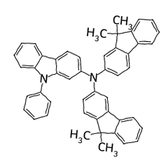 CC1(C)c2ccccc2-c2cc(N(c3ccc4c(c3)C(C)(C)c3ccccc3-4)c3ccc4c5ccccc5n(-c5ccccc5)c4c3)ccc21